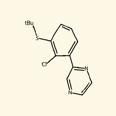 CC(C)(C)Sc1cccc(-c2cnccn2)c1Cl